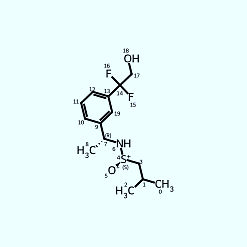 CC(C)C[S@@+]([O-])N[C@H](C)c1cccc(C(F)(F)CO)c1